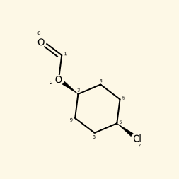 O=CO[C@H]1CC[C@@H](Cl)CC1